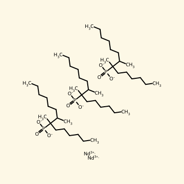 CCCCCCC(C)C(C)(CCCCCC)P(=O)([O-])[O-].CCCCCCC(C)C(C)(CCCCCC)P(=O)([O-])[O-].CCCCCCC(C)C(C)(CCCCCC)P(=O)([O-])[O-].[Nd+3].[Nd+3]